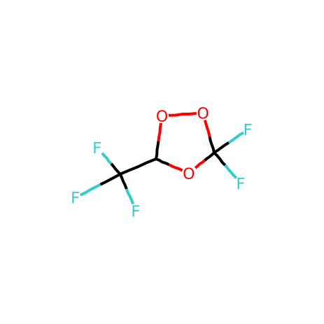 FC1(F)OOC(C(F)(F)F)O1